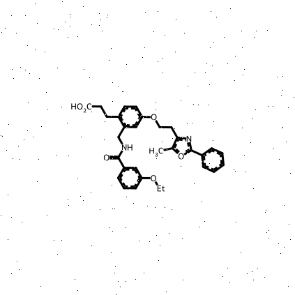 CCOc1cccc(C(=O)NCc2cc(OCCc3nc(-c4ccccc4)oc3C)ccc2CCC(=O)O)c1